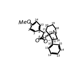 COc1ccc(CC(=O)O[C@@]2(c3ccccc3)CN3CCCC[C@H]32)cc1